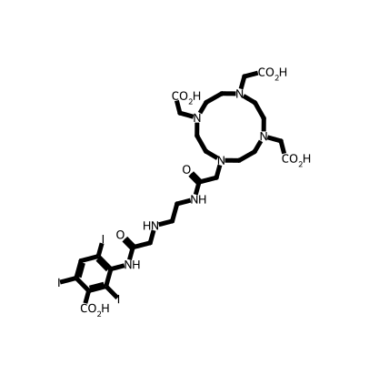 O=C(O)CN1CCN(CC(=O)O)CCN(CC(=O)NCCNCC(=O)Nc2c(I)cc(I)c(C(=O)O)c2I)CCN(CC(=O)O)CC1